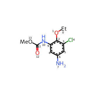 CCOc1c(Cl)cc(N)cc1NC(=O)OC